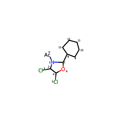 CC(=O)N1C(Cl)C(Cl)OC1C1CCCCC1